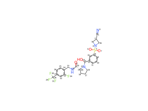 N#CC1CN(S(=O)(=O)c2cccc(C(O)N3CCC[C@@H]3C(=O)NCc3ccc(C(F)(F)F)cc3F)c2)C1